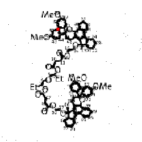 CCC(COCC(CC)OC(=O)CCC(=O)OCCOC1(C)c2ccccc2-c2c1c1c(c3ccccc23)OC(c2ccc(OC)cc2)(c2ccc(OC)cc2)C=C1)OC(=O)CCC(=O)OCCOC1(C)c2ccccc2-c2c1c1c(c3ccccc23)OC(c2ccc(OC)cc2)(c2ccc(OC)cc2)C=C1